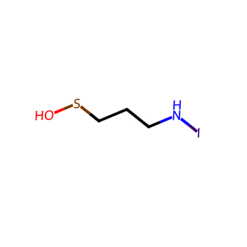 OSCCCNI